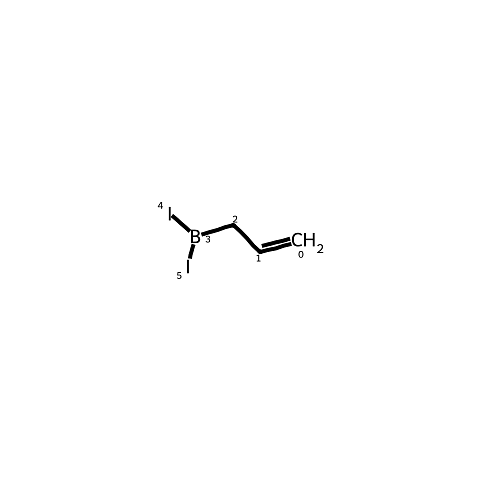 C=CCB(I)I